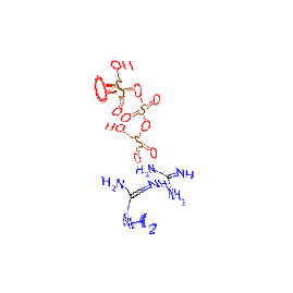 N=C(N)N.N=C(N)N.O=S(=O)(O)OS(=O)(=O)OS(=O)(=O)O